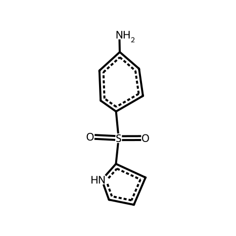 Nc1ccc(S(=O)(=O)c2ccc[nH]2)cc1